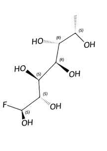 C[C@H](O)[C@@H](O)[C@@H](O)[C@H](O)[C@H](O)[C@@H](O)F